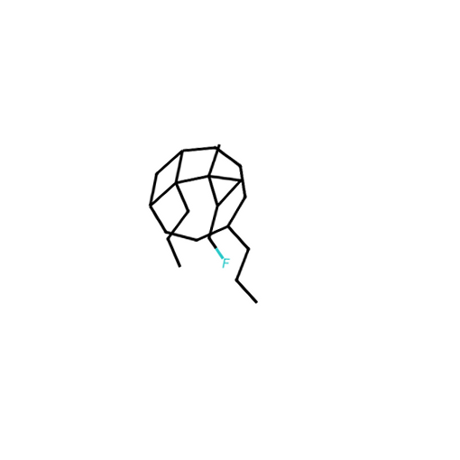 CCCC1CCCC2CC(CC1)C2(CCC)C1(C)CC1CF